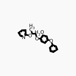 CC(COc1ccc(Oc2ccccc2)cc1)Oc1ccccn1.O